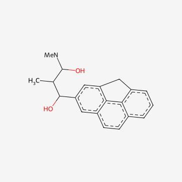 CNC(O)C(C)C(O)c1cc2c3c(ccc4cccc(c43)C2)c1